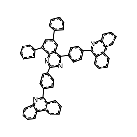 c1ccc(-c2cc(-c3ccccc3)c3nc(-c4ccc(-c5nc6ccccc6c6ccccc56)cc4)nc(-c4ccc(-c5nc6ccccc6c6ccccc56)cc4)c3c2)cc1